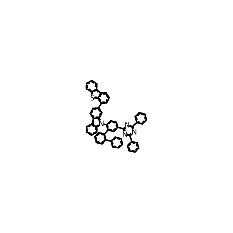 c1ccc(-c2nc(-c3ccccc3)nc(-c3ccc(-n4c5ccccc5c5ccc(-c6cccc7c6sc6ccccc67)cc54)c(-c4ccccc4-c4ccccc4)c3)n2)cc1